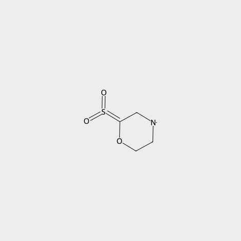 O=S(=O)=C1C[N]CCO1